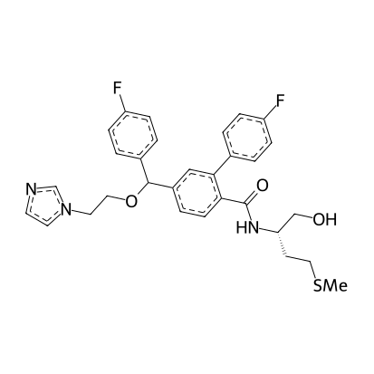 CSCC[C@@H](CO)NC(=O)c1ccc(C(OCCn2ccnc2)c2ccc(F)cc2)cc1-c1ccc(F)cc1